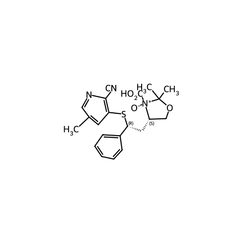 Cc1cnc(C#N)c(S[C@H](C[C@H]2COC(C)(C)[N+]2([O-])C(=O)O)c2ccccc2)c1